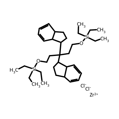 CC[Si](CC)(CC)OCCC(CCO[Si](CC)(CC)CC)(C1CCC2C=CC=CC21)C1CCC2C=CC=CC21.[Cl-].[Cl-].[Zr+2]